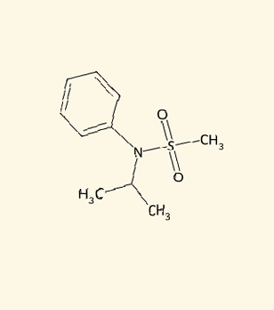 CC(C)N(c1ccccc1)S(C)(=O)=O